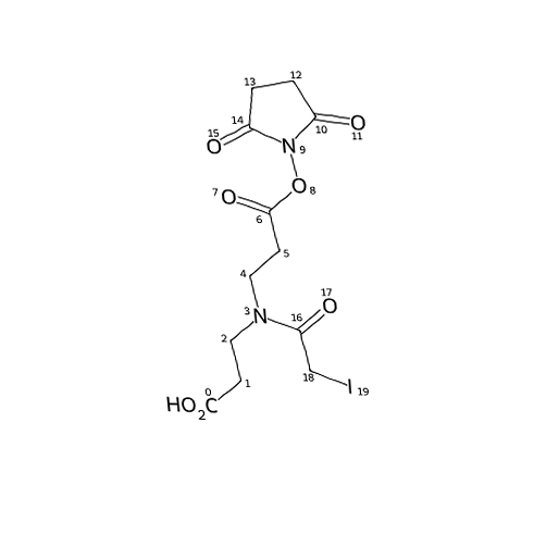 O=C(O)CCN(CCC(=O)ON1C(=O)CCC1=O)C(=O)CI